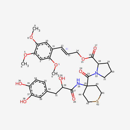 COc1cc(OC)c(OC)cc1/C=C/COC(=O)C1CCCN1C(=O)C1(NC(=O)C(O)Cc2ccc(O)c(O)c2)CCSCC1